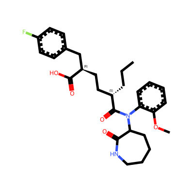 CCC[C@@H](CC[C@H](Cc1ccc(F)cc1)C(=O)O)C(=O)N(c1ccccc1OC)C1CCCCNC1=O